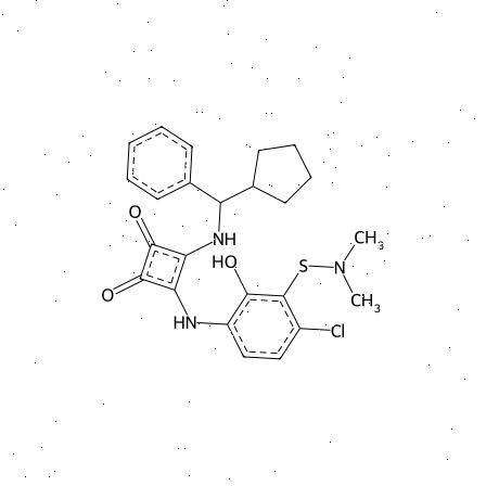 CN(C)Sc1c(Cl)ccc(Nc2c(NC(c3ccccc3)C3CCCC3)c(=O)c2=O)c1O